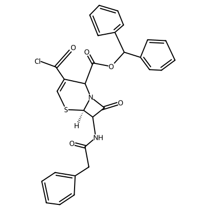 O=C(Cc1ccccc1)NC1C(=O)N2C(C(=O)OC(c3ccccc3)c3ccccc3)C(C(=O)Cl)=CS[C@H]12